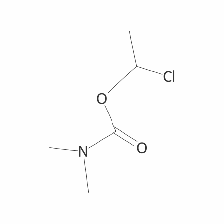 CC(Cl)OC(=O)N(C)C